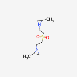 CC1CN1CCS(=O)(=O)CCN1CC1C